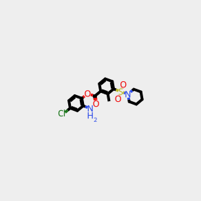 Cc1c(C(=O)Oc2ccc(Cl)cc2N)cccc1S(=O)(=O)N1CCCCC1